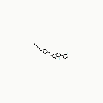 CCCCCCc1ccc(CCc2ccc3c(F)c(-c4cccc(F)c4)ccc3c2)cc1